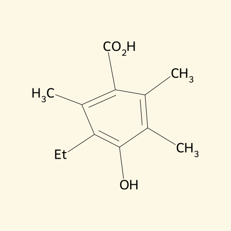 CCc1c(C)c(C(=O)O)c(C)c(C)c1O